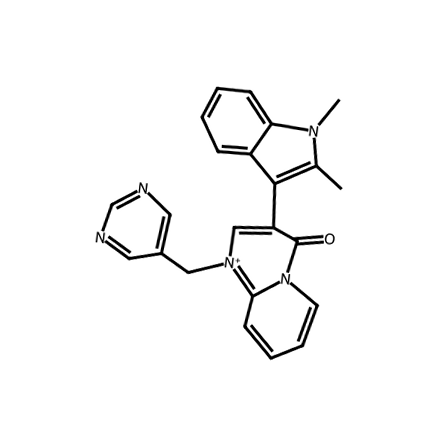 Cc1c(-c2c[n+](Cc3cncnc3)c3ccccn3c2=O)c2ccccc2n1C